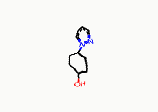 OC1CCC(n2cccn2)CC1